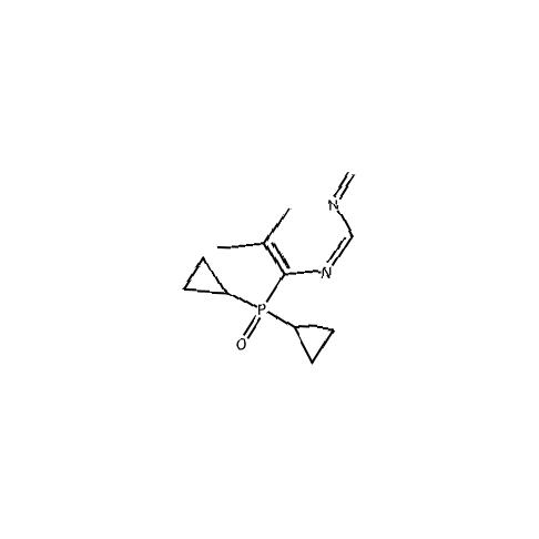 C=N/C=N\C(=C(C)C)P(=O)(C1CC1)C1CC1